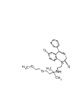 COCCOCCC(C)(C)NCCN1C(=O)CN=C(c2ccccc2)c2cc(Cl)ccc21